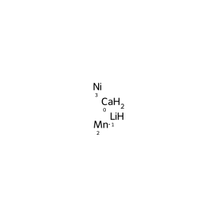 [CaH2].[LiH].[Mn].[Ni]